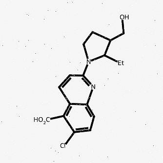 CCC1C(CO)CCN1c1ccc2c(C(=O)O)c(Cl)ccc2n1